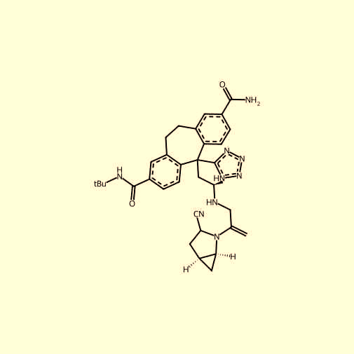 C=C(CN[C@H](C)CC1(c2nnn[nH]2)c2ccc(C(N)=O)cc2CCc2cc(C(=O)NC(C)(C)C)ccc21)N1C(C#N)C[C@@H]2C[C@@H]21